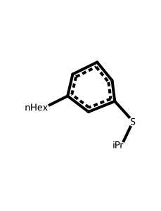 [CH2]CCCCCc1cccc(SC(C)C)c1